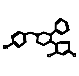 [C-]#[N+]c1ccc(CN2CCN(c3ccc(Cl)cc3Cl)C(c3ccccc3)C2)cc1